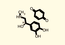 CNC[C@H](O)c1ccc(O)c(O)c1.O=C1C=CC(=O)C=C1